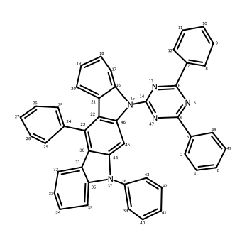 c1ccc(-c2nc(-c3ccccc3)nc(-n3c4ccccc4c4c(-c5ccccc5)c5c6ccccc6n(-c6ccccc6)c5cc43)n2)cc1